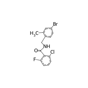 Cc1cc(Br)ccc1CNC(=O)c1c(F)cccc1Cl